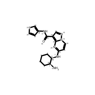 N[C@H]1CCCC[C@H]1Nc1ccn2ncc(C(=O)Nc3ccsc3)c2n1